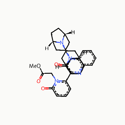 COC(=O)Cn1c(-c2nc3ccccc3n([C@@H]3C[C@H]4CC[C@@H](C3)N4[C@@H]3C[C@@H]4CCC[C@@H](C4)C3)c2=O)cccc1=O